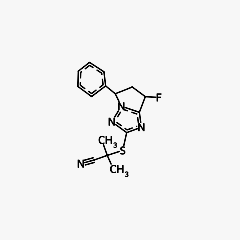 CC(C)(C#N)Sc1nc2n(n1)C(c1ccccc1)CC2F